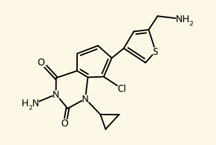 NCc1cc(-c2ccc3c(=O)n(N)c(=O)n(C4CC4)c3c2Cl)cs1